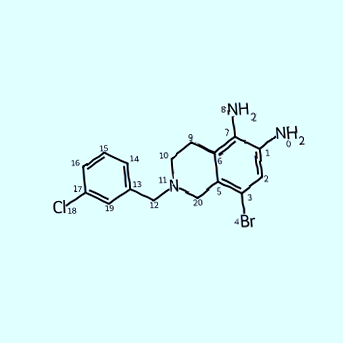 Nc1cc(Br)c2c(c1N)CCN(Cc1cccc(Cl)c1)C2